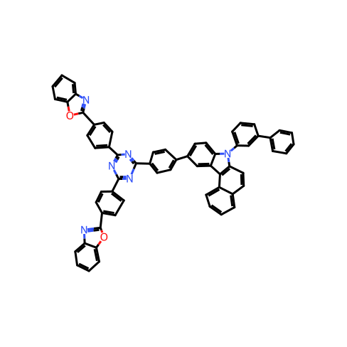 c1ccc(-c2cccc(-n3c4ccc(-c5ccc(-c6nc(-c7ccc(-c8nc9ccccc9o8)cc7)nc(-c7ccc(-c8nc9ccccc9o8)cc7)n6)cc5)cc4c4c5ccccc5ccc43)c2)cc1